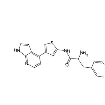 NC(Cc1ccccc1)C(=O)Nc1cc(-c2ccnc3[nH]ccc23)cs1